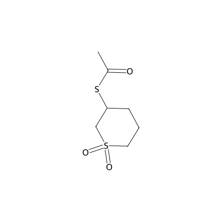 CC(=O)SC1CCCS(=O)(=O)C1